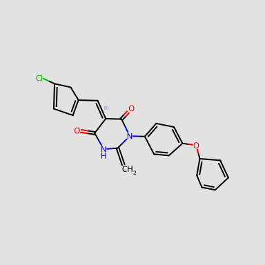 C=c1[nH]c(=O)/c(=C\C2=CC=C(Cl)C2)c(=O)n1-c1ccc(Oc2ccccc2)cc1